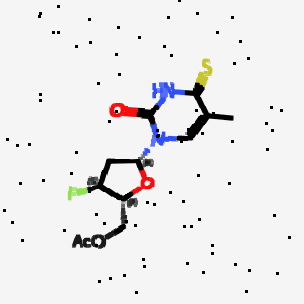 CC(=O)OC[C@H]1O[C@@H](n2cc(C)c(=S)[nH]c2=O)C[C@@H]1F